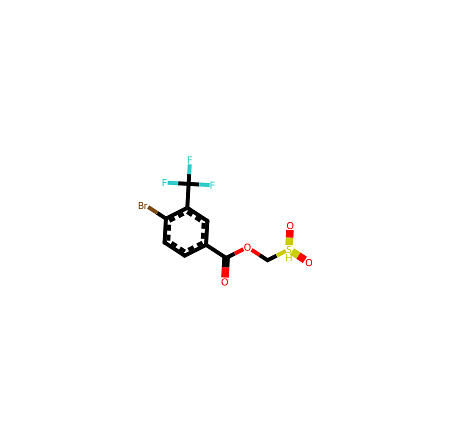 O=C(OC[SH](=O)=O)c1ccc(Br)c(C(F)(F)F)c1